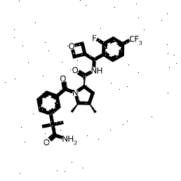 C[C@@H]1C[C@H](C(=O)NC(c2ccc(C(F)(F)F)cc2F)C2COC2)N(C(=O)c2cccc(C(C)(C)C(N)=O)c2)[C@@H]1C